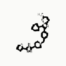 Cc1ccc2nc(-c3ccc(CN4CCC(c5nnc(-c6ccco6)[nH]5)CC4)cc3)c(-c3ccccc3)n2n1